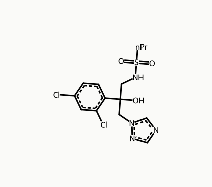 CCCS(=O)(=O)NCC(O)(Cn1cncn1)c1ccc(Cl)cc1Cl